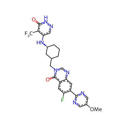 COc1cnc(-c2cc3ncn(CC4CCC[C@H](Nc5cn[nH]c(=O)c5C(F)(F)F)C4)c(=O)c3cc2F)nc1